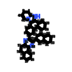 C1=CC2Nc3c(c4ccc(-c5nc6ccc7ccccc7c6nc5-c5ccc6ccccc6c5)cc4c4ccccc34)N2C=C1